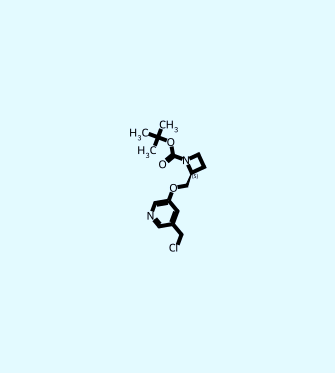 CC(C)(C)OC(=O)N1CC[C@H]1COc1cncc(CCl)c1